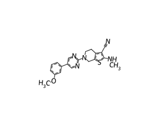 CNc1sc2c(c1C#N)CCN(c1ncc(-c3cccc(OC)c3)cn1)C2